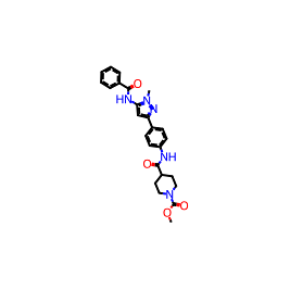 COC(=O)N1CCC(C(=O)Nc2ccc(-c3cc(NC(=O)c4ccccc4)n(C)n3)cc2)CC1